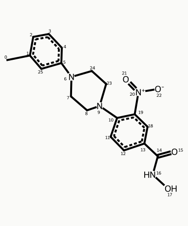 Cc1cccc(N2CCN(c3ccc(C(=O)NO)cc3[N+](=O)[O-])CC2)c1